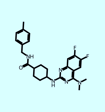 Cc1ccc(CNC(=O)C2CCC(Nc3nc(N(C)C)c4cc(F)c(F)cc4n3)CC2)cc1